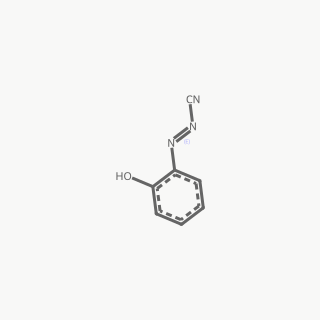 N#C/N=N/c1ccccc1O